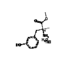 COC(=O)[C@@](C)(N)Cc1cccc(O)c1.Cl.O